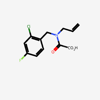 C=CCN(Cc1ccc(F)cc1Cl)C(=O)C(=O)O